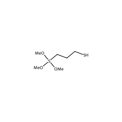 COS(CCCS)(OC)OC